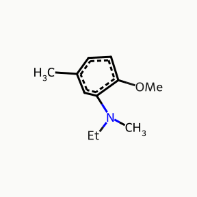 CCN(C)c1cc(C)ccc1OC